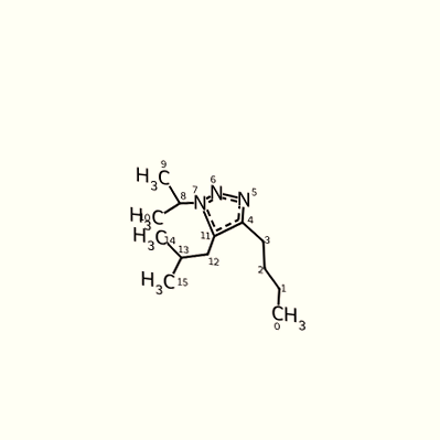 CCCCc1nnn(C(C)C)c1CC(C)C